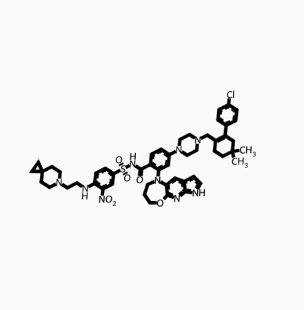 CC1(C)CCC(CN2CCN(c3ccc(C(=O)NS(=O)(=O)c4ccc(NCCN5CCC6(CC5)CC6)c([N+](=O)[O-])c4)c(N4CCCOc5nc6[nH]ccc6cc54)c3)CC2)=C(c2ccc(Cl)cc2)C1